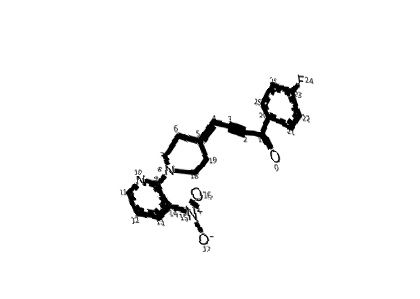 O=C(C#CC=C1CCN(c2ncccc2[N+](=O)[O-])CC1)c1ccc(F)cc1